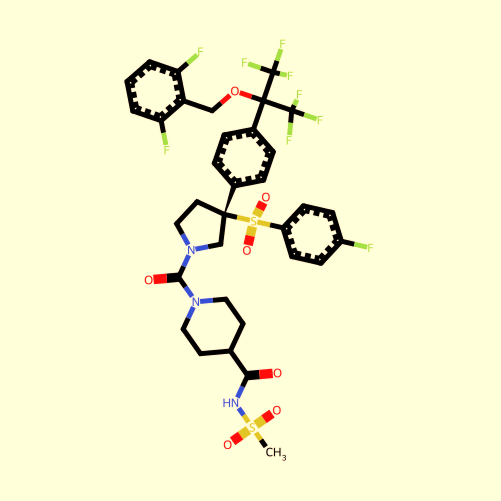 CS(=O)(=O)NC(=O)C1CCN(C(=O)N2CC[C@](c3ccc(C(OCc4c(F)cccc4F)(C(F)(F)F)C(F)(F)F)cc3)(S(=O)(=O)c3ccc(F)cc3)C2)CC1